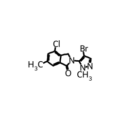 Cc1cc(Cl)c2c(c1)C(=O)N(c1c(Br)cnn1C)C2